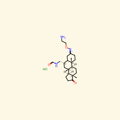 C[C@]12CC/C(=N/OCCN)CC1[C@@H](CNC=O)C[C@@H]1[C@@H]2CC[C@]2(C)C(=O)CC[C@@H]12.Cl